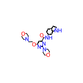 O=C(Nc1ccc2cc[nH]c2c1)c1cc(OCCN2CCOCC2)nc(N2CCOCC2)n1